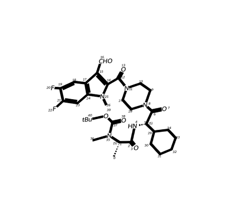 C[C@@H](C(=O)N[C@H](C(=O)N1CCN(C(=O)c2c(C=O)c3cc(F)c(F)cc3n2C)CC1)C1CCCCC1)N(C)C(=O)OC(C)(C)C